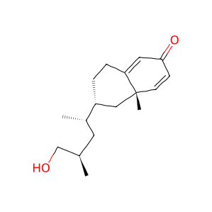 C[C@@H](CO)C[C@H](C)[C@@H]1CCC2=CC(=O)C=C[C@]2(C)C1